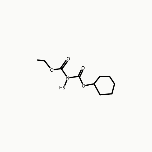 CCOC(=O)N(S)C(=O)OC1CCCCC1